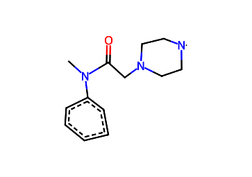 CN(C(=O)CN1CC[N]CC1)c1ccccc1